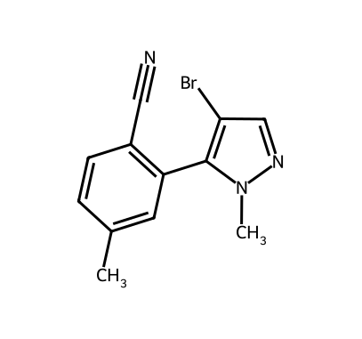 Cc1ccc(C#N)c(-c2c(Br)cnn2C)c1